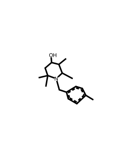 Cc1ccc(CN2C(C)C(C)C(O)CC2(C)C)cc1